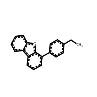 CCc1ccc(-c2cccc3c2oc2ccccc23)cc1